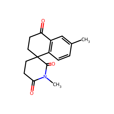 Cc1ccc2c(c1)C(=O)CCC21CCC(=O)N(C)C1=O